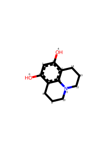 Oc1cc(O)c2c3c1CCCN3CCC2